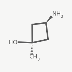 C[C@]1(O)C[C@@H](N)C1